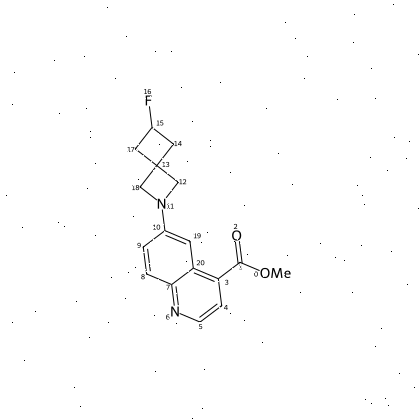 COC(=O)c1ccnc2ccc(N3CC4(CC(F)C4)C3)cc12